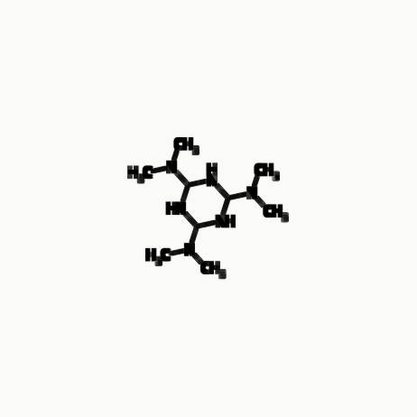 CN(C)C1NC(N(C)C)NC(N(C)C)N1